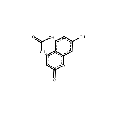 CC(=O)O.O=c1ccc2ccc(O)cc2o1